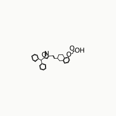 O=C(O)COc1cccc2c1CCC(/C=C/c1cc(C(c3ccccc3)c3ccccc3)on1)C2